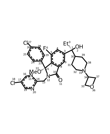 CC[C@@](O)(c1cc(F)c2c(c1)C(=O)N(Cc1ncc(Cl)cn1)[C@@]2(OC)c1ccc(Cl)cc1)C1CCN(C2COC2)CC1